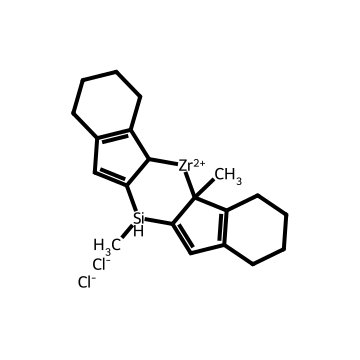 C[SiH]1C2=CC3=C(CCCC3)[CH]2[Zr+2][C]2(C)C1=CC1=C2CCCC1.[Cl-].[Cl-]